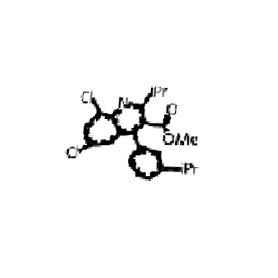 COC(=O)c1c(C(C)C)nc2c(Cl)cc(Cl)cc2c1-c1cccc(C(C)C)c1